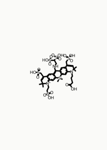 CC1(C)C=C(CS(=O)(=O)O)c2cc3c(cc2N1CCCC(=O)O)[Si](C)(C)c1cc2c(cc1=C3NCC(S(=O)(=O)O)S(=O)(=O)O)C(CS(=O)(=O)O)=CC(C)(C)[N+]=2CCS(=O)(=O)O